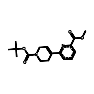 COC(=O)c1cccc(C2=CCN(C(=O)OC(C)(C)C)CC2)n1